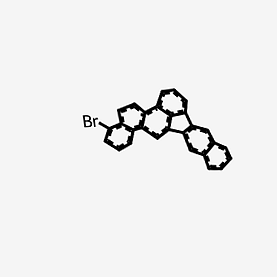 Brc1cccc2c1ccc1c3cccc4c3c(cc21)-c1cc2ccccc2cc1-4